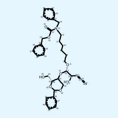 C[C@H](N=[N+]=[N-])[C@@H](OCCCCCCN(Cc1ccccc1)C(=O)OCc1ccccc1)OC1COC(c2ccccc2)O[C@@H]1CO